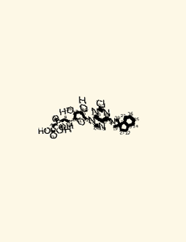 O=P(O)(O)CP(=O)(O)CC[C@H]1O[C@@H](n2cnc3c(N4CC5(CCc6ccccc65)C4)nc(Cl)nc32)C(O)[C@H]1O